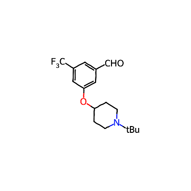 CC(C)(C)N1CCC(Oc2cc(C=O)cc(C(F)(F)F)c2)CC1